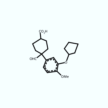 COc1ccc(C2(C=O)CCC(C(=O)O)CC2)cc1OC1CCCC1